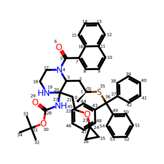 C[C@@H](CC1N(C(=O)c2cccc3ccccc23)CCNC1(CCOC1CC1)NC(=O)OC(C)(C)C)SC(c1ccccc1)(c1ccccc1)c1ccccc1